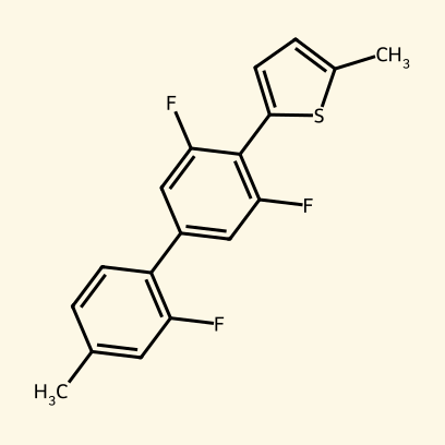 Cc1ccc(-c2cc(F)c(-c3ccc(C)s3)c(F)c2)c(F)c1